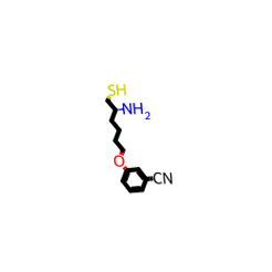 N#Cc1cccc(OCCCC[C@@H](N)CS)c1